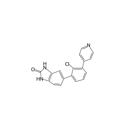 O=c1[nH]c2ccc(-c3cccc(-c4ccncc4)c3Cl)cc2[nH]1